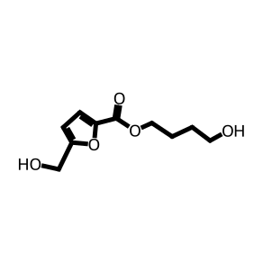 O=C(OCCCCO)c1ccc(CO)o1